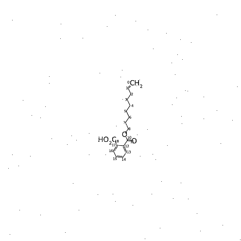 C=CCCCCCCCOC(=O)c1ccccc1C(=O)O